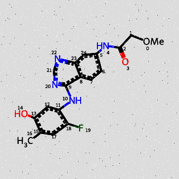 COCC(=O)Nc1ccc2c(Nc3cc(O)c(C)cc3F)ncnc2c1